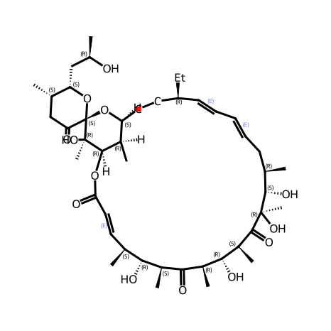 CC[C@H]1/C=C/C=C/C[C@@H](C)[C@H](O)[C@@](C)(O)C(=O)[C@@H](C)[C@H](O)[C@@H](C)C(=O)[C@@H](C)[C@H](O)[C@@H](C)/C=C/C(=O)O[C@@H]2[C@H](C)[C@H](CC1)O[C@@]1(O[C@@H](C[C@@H](C)O)[C@@H](C)CC1=O)[C@]2(C)O